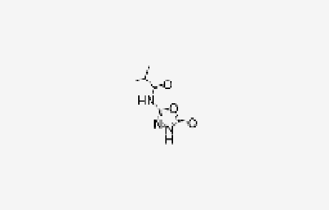 CC(C)C(=O)Nc1n[nH]c(=O)o1